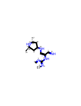 C=N/C(=N\CC)N/C(C=N)=C/NC1C[C@@H](C)N[C@H](C)C1